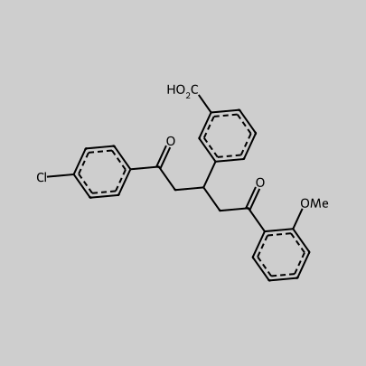 COc1ccccc1C(=O)CC(CC(=O)c1ccc(Cl)cc1)c1cccc(C(=O)O)c1